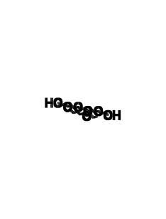 CCCCCCOCCC.OCCOCCOCCOCCOCCO